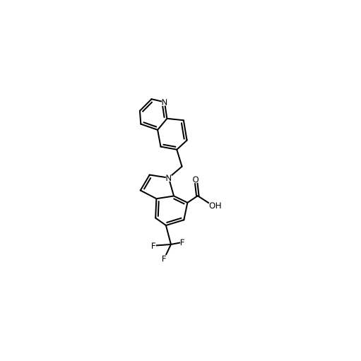 O=C(O)c1cc(C(F)(F)F)cc2ccn(Cc3ccc4ncccc4c3)c12